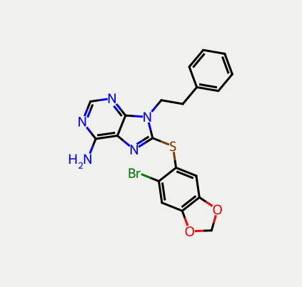 Nc1ncnc2c1nc(Sc1cc3c(cc1Br)OCO3)n2CCc1ccccc1